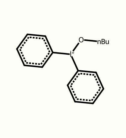 CCCCO[I+](c1ccccc1)c1ccccc1